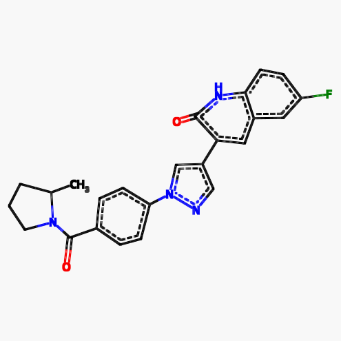 CC1CCCN1C(=O)c1ccc(-n2cc(-c3cc4cc(F)ccc4[nH]c3=O)cn2)cc1